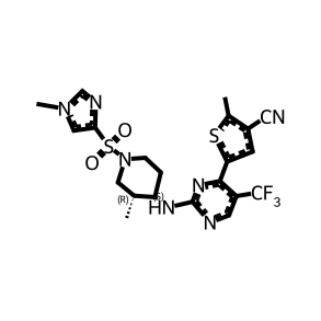 Cc1sc(-c2nc(N[C@H]3CCN(S(=O)(=O)c4cn(C)cn4)C[C@H]3C)ncc2C(F)(F)F)cc1C#N